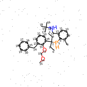 CCC(CC)(Pc1c(C)cccc1CNC(C)(C)C)c1cccc(Cc2ccccc2)c1OCOC